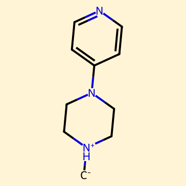 [CH2-][NH+]1CCN(c2ccncc2)CC1